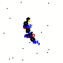 CC(C(=O)Nc1ccc(N)cc1)N(C(=O)CN(C)C)c1ccc(C(=O)Nc2cc(-c3cccs3)ccc2N)cc1